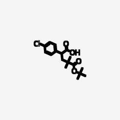 CC(C)(C)OC(=O)C(C)(C)CC(C(=O)O)c1ccc(Cl)cc1